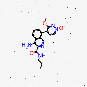 CCCNC(=O)c1ncc2c(-c3cc[n+]([O-])nc3OC)cccc2c1N